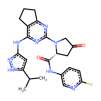 CC(C)c1cc(Nc2nc(N3CC(=O)C[C@@H]3C(=O)Nc3ccc(F)nc3)nc3c2CCC3)n[nH]1